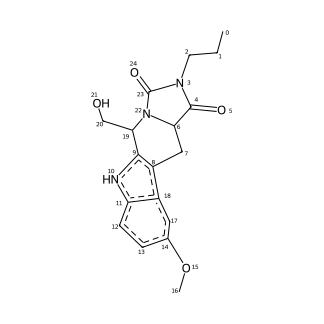 CCCN1C(=O)C2Cc3c([nH]c4ccc(OC)cc34)C(CO)N2C1=O